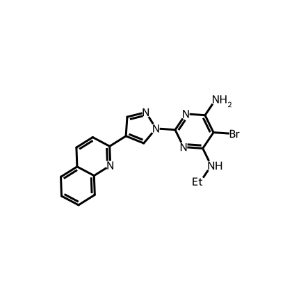 CCNc1nc(-n2cc(-c3ccc4ccccc4n3)cn2)nc(N)c1Br